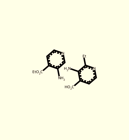 CCOC(=O)c1ccncc1N.CCc1nccc(C(=O)O)c1N